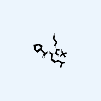 CC(C)C/C=C\C(OC(=O)c1ccccc1)[C@H]1OC(C)(C)O[C@H]1CCCI